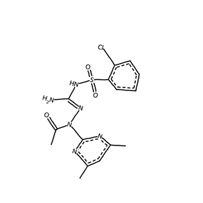 CC(=O)N(N=C(N)NS(=O)(=O)c1ccccc1Cl)c1nc(C)cc(C)n1